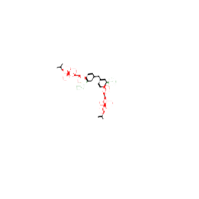 C=C(C)COC(=O)OCCOc1ccc(Cc2ccc(OCCOC(=O)OCC(=C)C)c(Br)c2)cc1Br